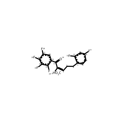 O=C(O)C(=CCCc1ccc(F)cc1F)C(=O)c1cc(F)c(F)c(F)c1F